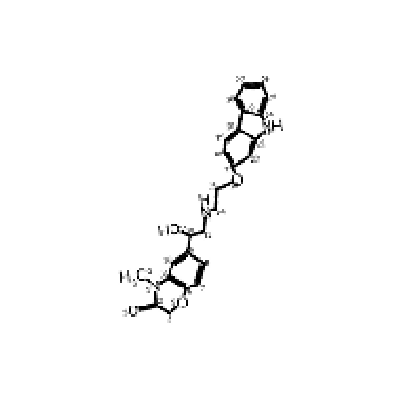 CN1C(=O)COc2ccc(C(O)CNCCOc3ccc4c(c3)[nH]c3ccccc34)cc21